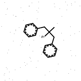 CC(C)C(C)(Cc1ccccc1)Cc1ccccc1